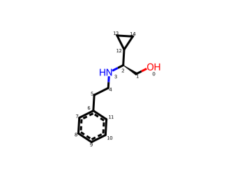 OC[C@@H](NCCc1ccccc1)C1CC1